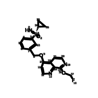 N=[S@@](=O)(c1cccc(COc2ccnc3c(OCF)nccc23)c1)C1CC1